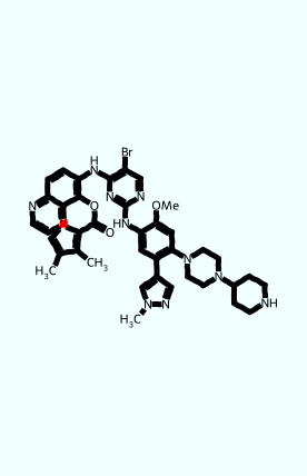 COc1cc(N2CCN(C3CCNCC3)CC2)c(-c2cnn(C)c2)cc1Nc1ncc(Br)c(Nc2ccc3nccnc3c2OC(=O)c2[pH]cc(C)c2C)n1